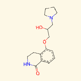 O=C1NCCc2c(OCC(O)CN3CCCC3)cccc21